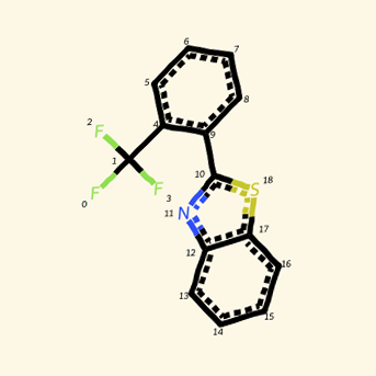 FC(F)(F)c1ccccc1-c1nc2ccccc2s1